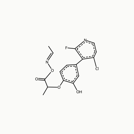 CC=NOC(=O)C(C)Oc1ccc(-c2c(Cl)ccnc2F)cc1O